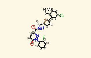 CNCc1ccc(Cl)cc1-c1ccc([C@@H](C)NC(=O)c2ccc(=O)n(-c3ccccc3F)n2)s1